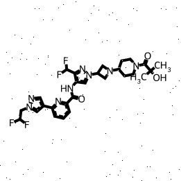 CC(C)(O)C(=O)N1CCC(N2CC(n3cc(NC(=O)c4cccc(-c5cnn(CC(F)F)c5)n4)c(C(F)F)n3)C2)CC1